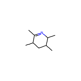 CC1=NC(C)C(C)CC1C